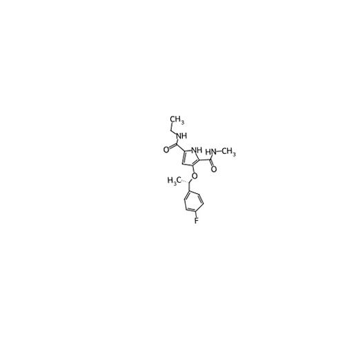 CCNC(=O)c1cc(O[C@@H](C)c2ccc(F)cc2)c(C(=O)NC)[nH]1